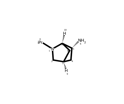 CC(C)N1C[C@@H]2C[C@@H](N)[C@H]1C2